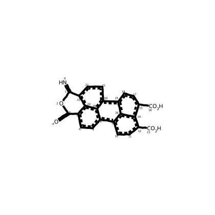 N=C1OC(=O)c2ccc3c4ccc(C(=O)O)c5c(C(=O)O)ccc(c6ccc1c2c63)c54